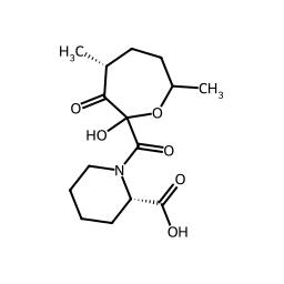 CC1CC[C@@H](C)C(=O)C(O)(C(=O)N2CCCC[C@H]2C(=O)O)O1